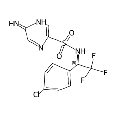 N=c1cnc(S(=O)(=O)N[C@H](c2ccc(Cl)cc2)C(F)(F)F)c[nH]1